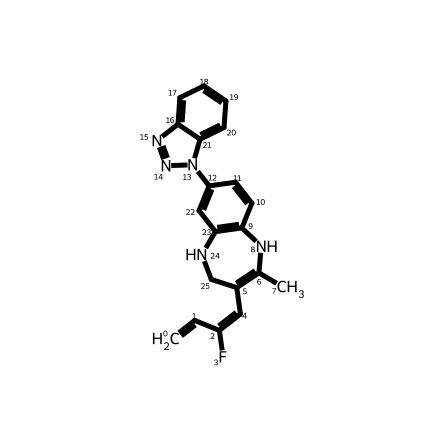 C=C/C(F)=C\C1=C(C)Nc2ccc(-n3nnc4ccccc43)cc2NC1